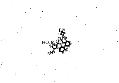 [N-]=[N+]=NC1CC(C(=O)N(c2cccc(F)c2)[C@H](C(=O)NC2CC(F)(F)C2)c2ccccc2Cl)N(C(=O)O)C1